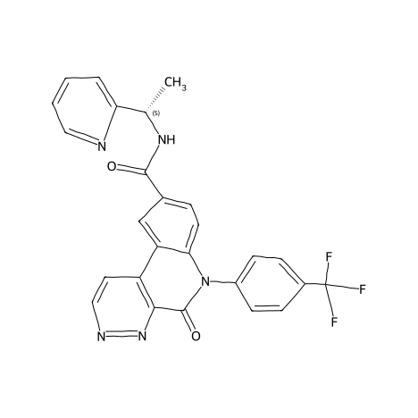 C[C@H](NC(=O)c1ccc2c(c1)c1ccnnc1c(=O)n2-c1ccc(C(F)(F)F)cc1)c1ccccn1